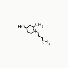 CCCCN1CCC(O)CC1C